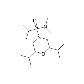 CC(C)C1CN(P(=O)(C(C)C)N(C)C)CC(C(C)C)O1